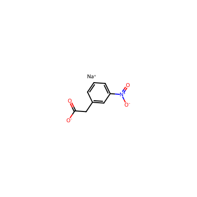 O=C([O-])Cc1cccc([N+](=O)[O-])c1.[Na+]